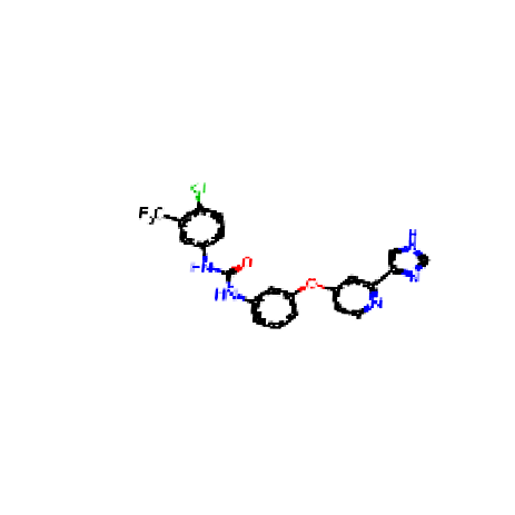 O=C(Nc1cccc(Oc2ccnc(-c3c[nH]cn3)c2)c1)Nc1ccc(Cl)c(C(F)(F)F)c1